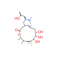 C=C(O)/C=C(\CC1/C=C/CC(O)C(O)C(O)/C(F)=C\C(C)C(C)OC(=O)C1)N(C)C